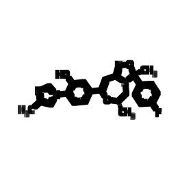 Cc1cn(-c2ccc(C3=CC4=NO[C@](C)(c5ccc(F)cc5)N4C[C@H](C)O3)cc2O)cn1